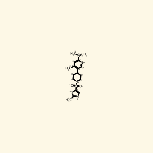 Cc1ncc(S(=O)(=O)N2CCC(c3cnc(N(C)C)cc3C)CC2)s1